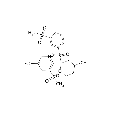 CC1CCOC(c2ncc(C(F)(F)F)cc2S(C)(=O)=O)(S(=O)(=O)c2cccc(S(C)(=O)=O)c2)C1